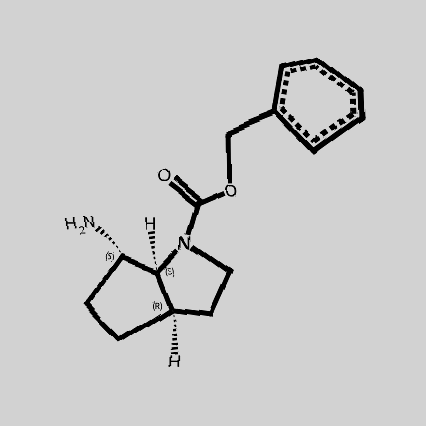 N[C@H]1CC[C@@H]2CCN(C(=O)OCc3ccccc3)[C@@H]21